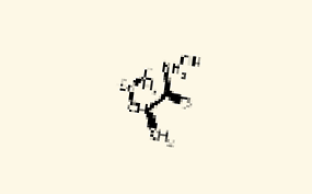 C=CC(N)=O.Cl.[CH3][Sn][CH3]